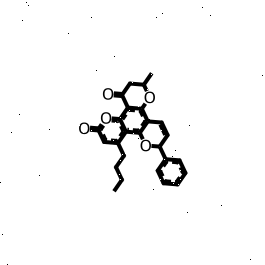 CCCCc1cc(=O)oc2c3c(c4c(c12)OC(c1ccccc1)C=C4)OC(C)CC3=O